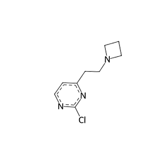 Clc1nccc(CCN2CCC2)n1